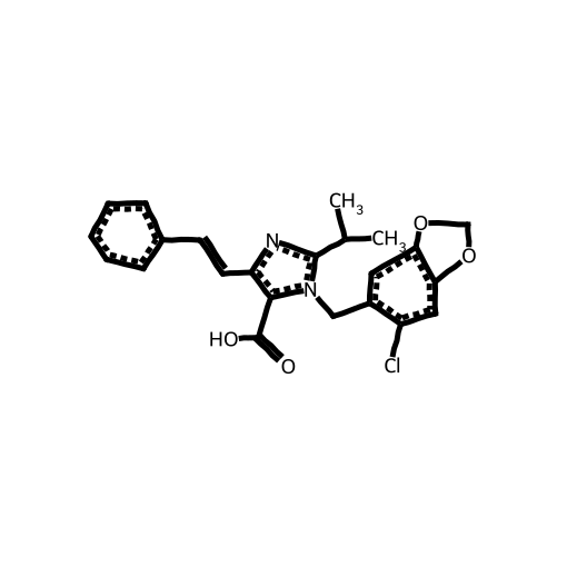 CC(C)c1nc(C=Cc2ccccc2)c(C(=O)O)n1Cc1cc2c(cc1Cl)OCO2